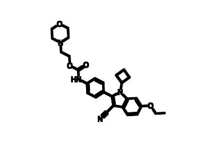 CCOc1ccc2c(C#N)c(-c3ccc(NC(=O)OCCN4CCOCC4)cc3)n(C3CCC3)c2c1